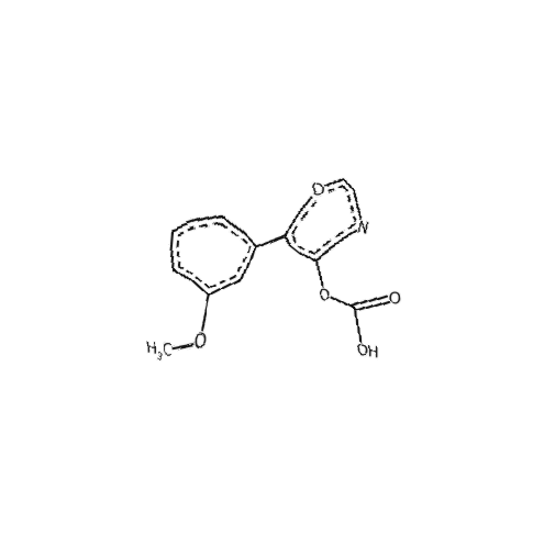 COc1cccc(-c2ocnc2OC(=O)O)c1